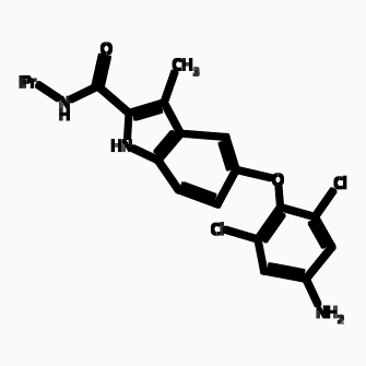 Cc1c(C(=O)NC(C)C)[nH]c2ccc(Oc3c(Cl)cc(N)cc3Cl)cc12